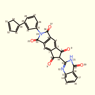 O=C1c2cc3c(cc2C(=O)C1c1nc2ccccc2c(=O)[nH]1)C(=O)N(c1cccc(C2=CC=CC2)c1)C3=O